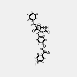 O=C1NC(=O)[C@@](Cc2ccc(OCC(=O)c3ccc(F)cc3)cc2)(C(=O)OCc2ccccc2)S1